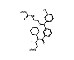 CNC[C@H](C)N(C(=O)c1cccc(C(OCCNC(=O)OC)c2cccc(Cl)c2)c1)C1CCCCC1